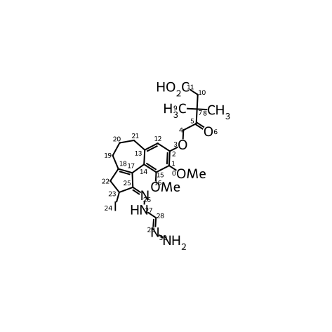 COc1c(OCC(=O)C(C)(C)CC(=O)O)cc2c(c1OC)C1=C(CCC2)CC(I)C1=NNC=NN